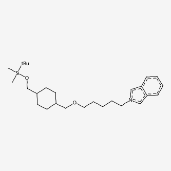 CC(C)(C)[Si](C)(C)OCC1CCC(COCCCCCn2cc3ccccc3c2)CC1